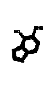 O=Cc1ccc2sccc2c1O